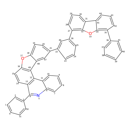 c1ccc(-c2nc3ccccc3c3c2ccc2oc4ccc(-c5cccc(-c6cccc7c6oc6c(-c8ccccc8)cccc67)c5)cc4c23)cc1